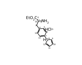 CCOC(=O)[C@@H](N)Cc1ccc([SH]2C=CC=C2)cc1.Cl